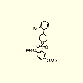 COc1ccc(OC)c(S(=O)(=O)N2CCC(C3C=CCC=C3Br)CC2)c1